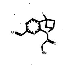 C=Cc1ccc2c(n1)N(C(=O)OC(C)(C)C)C1CC2(F)C1